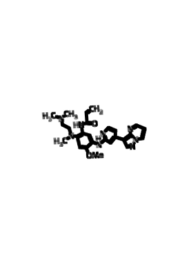 C=CC(=O)Nc1cc(Nc2cc(-c3cnn4cccnc34)ccn2)c(OC)cc1N(C)CCN(C)C